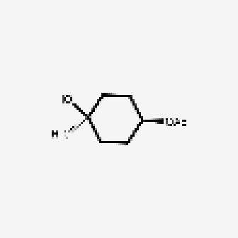 CC(=O)O[C@H]1CC[C@@](C)(O)CC1